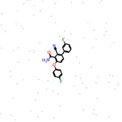 N#Cc1c(-c2cccc(F)c2)ccc(Oc2ccc(F)cc2)c1C(N)=O